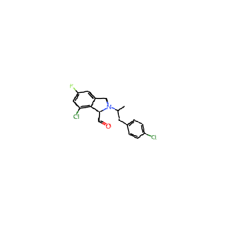 CC(Cc1ccc(Cl)cc1)N1Cc2cc(F)cc(Cl)c2C1C=O